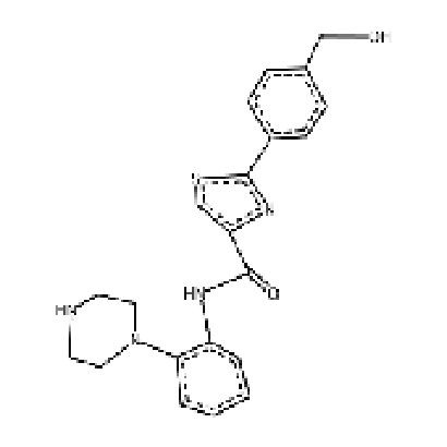 O=C(Nc1ccccc1N1CCNCC1)c1csc(-c2ccc(CO)cc2)n1